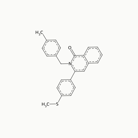 CSc1ccc(-c2cc3ccccc3c(=O)n2Cc2ccc(C)cc2)cc1